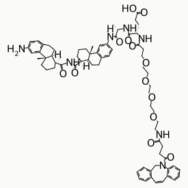 C[C@H](NC(=O)[C@H](CCC(=O)O)NC(=O)CCOCCOCCOCCOCCNC(=O)CCC(=O)N1Cc2ccccc2/C=C\c2ccccc21)C(=O)Nc1ccc2c(c1)[C@@]1(C)CCC[C@](C)(C(=O)NC(=O)[C@@]3(C)CCC[C@]4(C)c5cc(N)ccc5CC[C@@H]34)[C@@H]1CC2